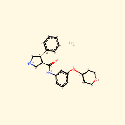 Cl.O=C(Nc1cccc(OC2CCOCC2)c1)[C@H]1CNC[C@@H]1c1ccccc1